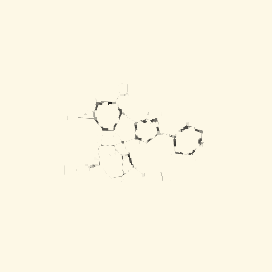 CC1=CC2(c3cc(-c4ccccc4)ccc3-c3c(Cl)cc(Cl)cc32)C2CC(C)CC1C2